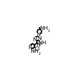 CC1(N)CCN(c2cnc3c(-c4ccnc(N)c4Cl)n[nH]c3n2)CC1